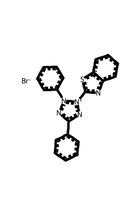 [Br-].c1ccc(-c2nn(-c3ccccc3)[n+](-c3nc4ccccc4s3)n2)cc1